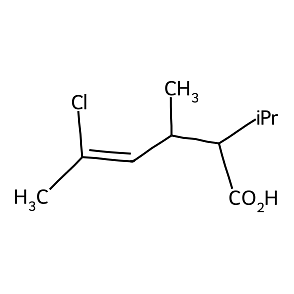 CC(Cl)=CC(C)C(C(=O)O)C(C)C